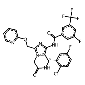 O=C1Cn2c(COc3ccccn3)nc(NC(=O)c3cc(F)cc(C(F)(F)F)c3)c2[C@H](c2cc(F)ccc2Cl)N1